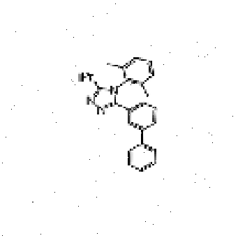 Cc1cccc(C)c1-n1c(-c2cccc(-c3ccccc3)c2)nnc1C(C)C